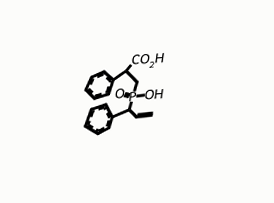 C=CC(c1ccccc1)P(=O)(O)CC(C(=O)O)c1ccccc1